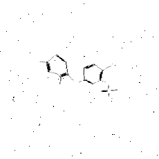 CCP(=O)(O)Oc1cc(Oc2ccc(C(F)(F)F)cc2Cl)ccc1N